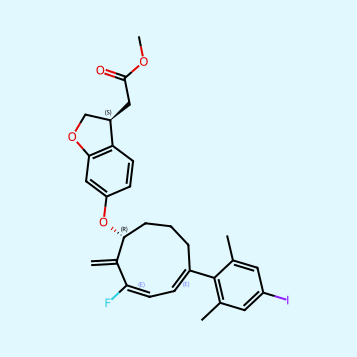 C=C1/C(F)=C\C=C(\c2c(C)cc(I)cc2C)CCC[C@H]1Oc1ccc2c(c1)OC[C@H]2CC(=O)OC